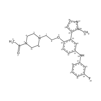 CC(=O)N1CCN(CCOc2ccc(Nc3cccc(F)c3)cc2-c2ccnn2C)CC1